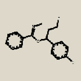 C/N=C(\OC(CCF)c1ccc(Cl)cc1)c1ccccc1